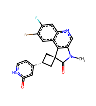 CN1c2cnc3cc(F)c(Br)cc3c2[C@]2(C[C@@H](c3cc[nH]c(=O)c3)C2)C1=O